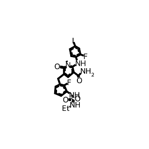 CCNS(=O)(=O)Nc1cccc(Cc2cc(C(N)=O)c(Nc3ccc(I)cc3F)n(C)c2=O)c1F